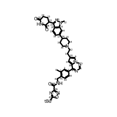 Cc1cc(-c2ncnn3cc(CCN4CCC(c5ccc6c(C7CCC(=O)NC7=O)nn(C)c6c5)CC4)cc23)ccc1CNC(=O)c1noc(C(C)(C)C)n1